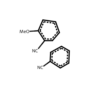 COc1ccccc1C#N.N#Cc1ccccc1